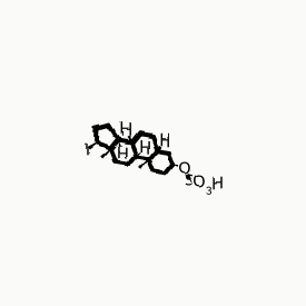 C[C@]12CC[C@@H](OS(=O)(=O)O)C[C@H]1CC[C@@H]1[C@@H]2CC[C@]2(C)[C@@H](I)CC[C@@H]12